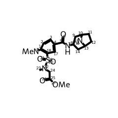 CNc1ccc(C(=O)NC2CC3CCC(C2)N3C)cc1S(=O)(=O)N(C)CC(=O)OC